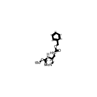 CNC[C@H](CNC(=O)OCc1ccccc1)NC(=O)OC(C)(C)C